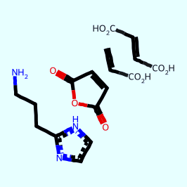 C=CC(=O)O.NCCCc1ncc[nH]1.O=C(O)C=CC(=O)O.O=C1C=CC(=O)O1